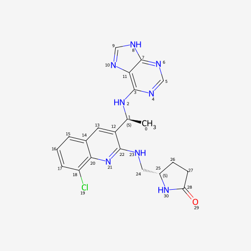 C[C@H](Nc1ncnc2[nH]cnc12)c1cc2cccc(Cl)c2nc1NC[C@@H]1CCC(=O)N1